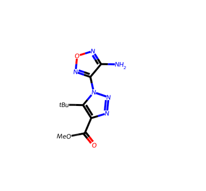 COC(=O)c1nnn(-c2nonc2N)c1C(C)(C)C